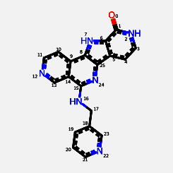 O=c1[nH]ccc2c1[nH]c1c3ccncc3c(NCc3cccnc3)nc21